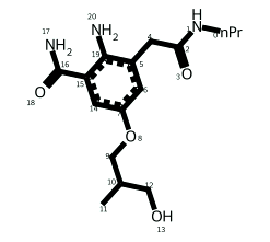 CCCNC(=O)Cc1cc(OCC(C)CO)cc(C(N)=O)c1N